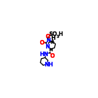 O=C(NC1CCCNC1)[C@H]1CC[C@@H]2CN1C(=O)N2OS(=O)(=O)O